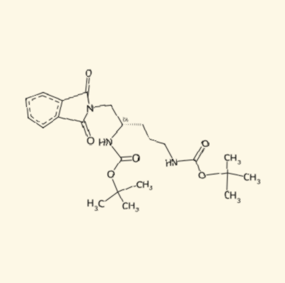 CC(C)(C)OC(=O)NCCC[C@@H](CN1C(=O)c2ccccc2C1=O)NC(=O)OC(C)(C)C